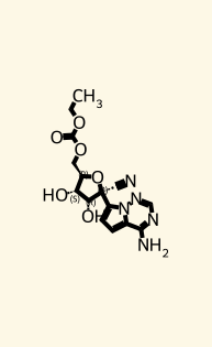 CCOC(=O)OC[C@H]1O[C@@](C#N)(c2ccc3c(N)ncnn23)[C@H](O)[C@@H]1O